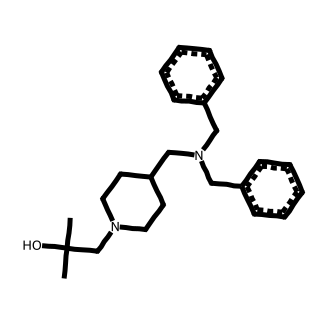 CC(C)(O)CN1CCC(CN(Cc2ccccc2)Cc2ccccc2)CC1